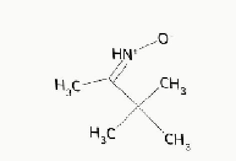 C/C(=[NH+]/[O-])C(C)(C)C